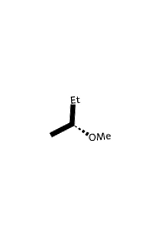 [CH2]O[C@H](C)CC